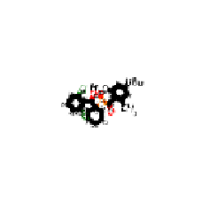 Cc1cc(C(C)(C)C)cc(C)c1C(=O)[P](=O)C1(C(=O)c2c(Cl)cccc2Cl)CCCCC1